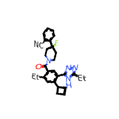 CCc1nnc(-c2cc(C(=O)N3CCC(F)(c4ccccc4C#N)CC3)c(CC)cc2C2CCC2)[nH]1